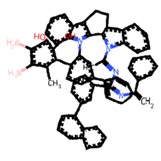 Bc1c(B)c(O)c(O)c(-c2ccc(C3=CCCC=C3)cc2-n2c3c(c4ccccc42)CCc2c-3n(/C(C)=N/C(=N\C(=C)c3ccccc3)c3cccc(-c4cccc5ccccc45)c3)c3ccccc23)c1C